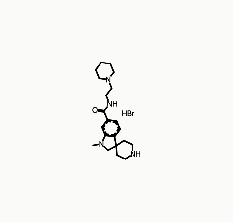 Br.CN1CC2(CCNCC2)c2ccc(C(=O)NCCN3CCCCC3)cc21